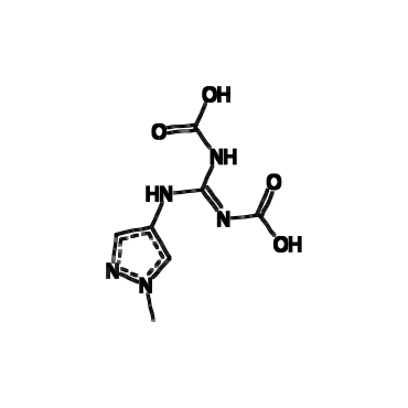 Cn1cc(NC(=NC(=O)O)NC(=O)O)cn1